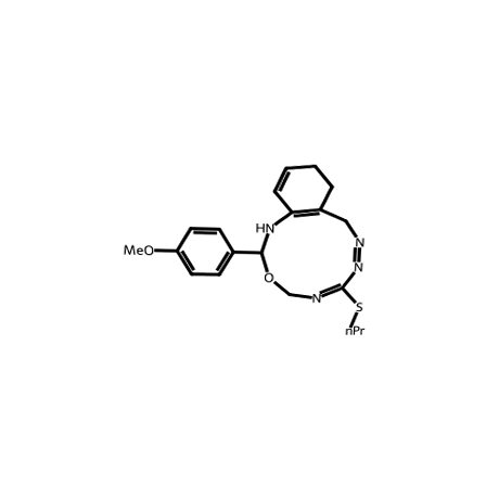 CCCSC1=N/COC(c2ccc(OC)cc2)NC2=C(CCC=C2)C/N=N\1